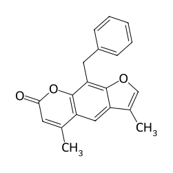 Cc1coc2c(Cc3ccccc3)c3oc(=O)cc(C)c3cc12